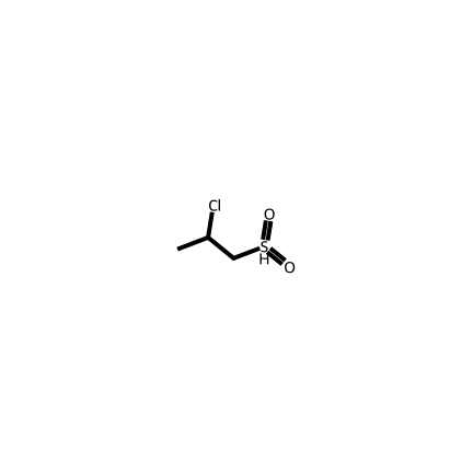 CC(Cl)C[SH](=O)=O